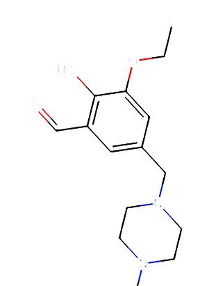 CCOc1cc(CN2CCN(C)CC2)cc(C=O)c1O